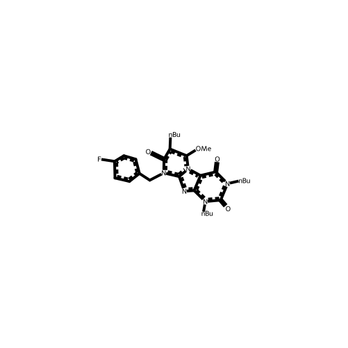 CCCCc1c(OC)n2c3c(=O)n(CCCC)c(=O)n(CCCC)c3nc2n(Cc2ccc(F)cc2)c1=O